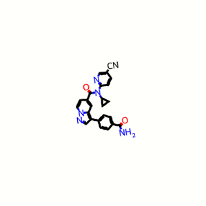 N#Cc1ccc(N(C(=O)c2ccn3ncc(-c4ccc(C(N)=O)cc4)c3c2)C2CC2)nc1